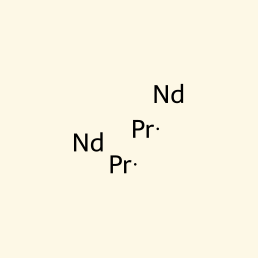 [Nd].[Nd].[Pr].[Pr]